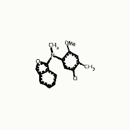 COc1cc(C)c(Cl)cc1N(C)c1occ2ccccc12